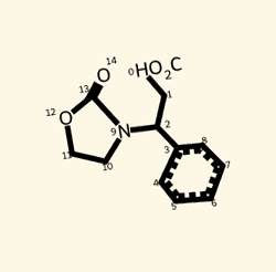 O=C(O)CC(c1ccccc1)N1CCOC1=O